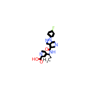 CC[C@H](NC(=O)c1cncc2c1cnn2-c1ccc(F)cc1)c1ccnc(C(=O)O)c1